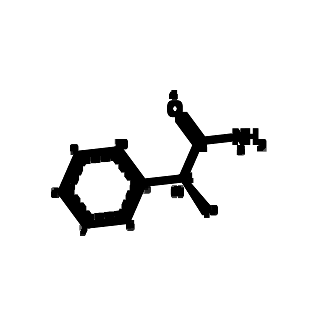 [CH2][C@H](C(N)=O)c1ccccc1